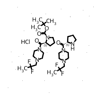 CC(F)(F)CN1CCN(C(=O)[C@@H]2CCCN2)CC1.CC(F)(F)CN1CCN(C(=O)[C@@H]2CCCN2C(=O)OC(C)(C)C)CC1.Cl